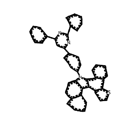 c1ccc(-c2cc(-c3ccc(-n4c5ccc6ccccc6c5c5c6ccsc6c6ccccc6c54)cc3)nc(-c3ccccc3)n2)cc1